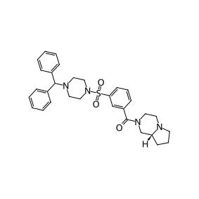 O=C(c1cccc(S(=O)(=O)N2CCN(C(c3ccccc3)c3ccccc3)CC2)c1)N1CCN2CCC[C@@H]2C1